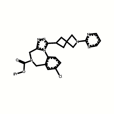 CC(C)OC(=O)N1Cc2cc(Cl)ccc2-n2c(nnc2C2CC3(C2)CN(c2ncccn2)C3)C1